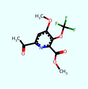 COC(=O)c1nc(C(C)=O)cc(OC)c1OC(F)(F)F